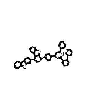 c1ccc(-c2cc(-c3ccc(-c4ccc(-c5ccc6c(c5)oc5ccccc56)c5c4oc4ccccc45)cc3)nc(-c3ccccc3-c3cccnc3)n2)cc1